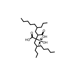 CCCCCC(CCC)CC(C(=O)O)C(CC(CCC)CCCCC)(C(=O)O)S(=O)(=O)O